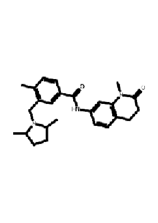 Cc1ccc(C(=O)Nc2ccc3c(c2)N(C)C(=O)CC3)cc1CN1C(C)CCC1C